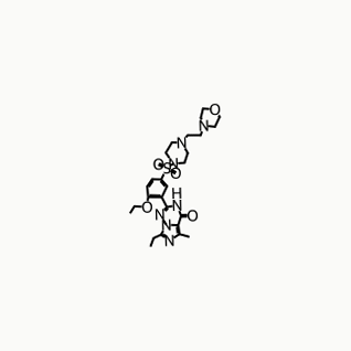 CCOc1ccc(S(=O)(=O)N2CCN(CCN3CCOCC3)CC2)cc1-c1nn2c(CC)nc(C)c2c(=O)[nH]1